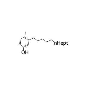 CCCCCCCCCCCCc1cc(O)[c]cc1C